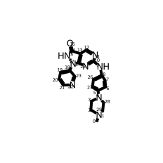 CN1CCN(c2ccc(Nc3ncc4c(=O)[nH]n(-c5cccnc5)c4n3)cc2)CC1